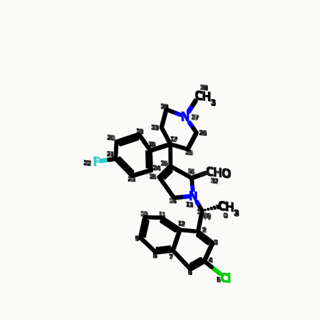 C[C@H](c1cc(Cl)cc2ccccc12)N1CC=C(C2(c3ccc(F)cc3)CCN(C)CC2)C1C=O